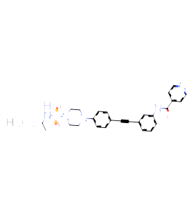 C[C@@H](NS(=O)(=O)N1CCN(c2ccc(C#Cc3cccc(NC(=O)c4ccncc4)c3)cc2)CC1)C(=O)O